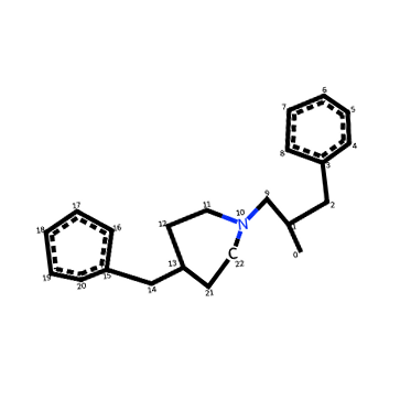 CC(Cc1ccccc1)CN1CCC(Cc2ccccc2)CC1